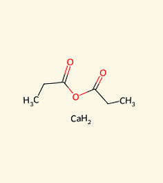 CCC(=O)OC(=O)CC.[CaH2]